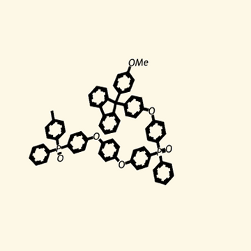 COc1ccc(C2(c3ccc(Oc4ccc(P(=O)(c5ccccc5)c5ccc(Oc6ccc(Oc7ccc(P(=O)(c8ccccc8)c8ccc(C)cc8)cc7)cc6)cc5)cc4)cc3)c3ccccc3-c3ccccc32)cc1